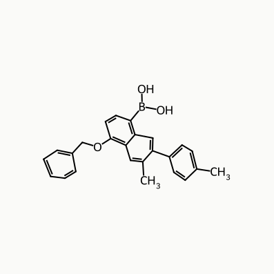 Cc1ccc(-c2cc3c(B(O)O)ccc(OCc4ccccc4)c3cc2C)cc1